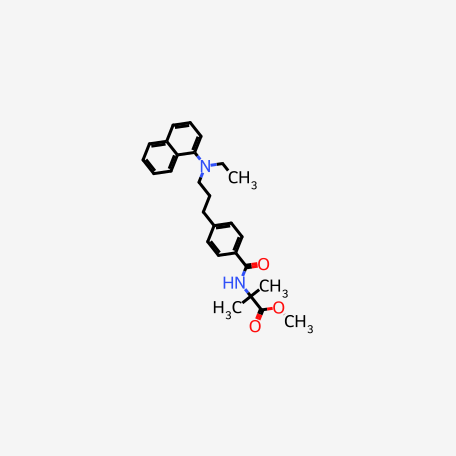 CCN(CCCc1ccc(C(=O)NC(C)(C)C(=O)OC)cc1)c1cccc2ccccc12